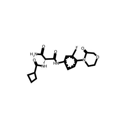 NC(=O)[C@@H](NC(=O)C1CCC1)C(=O)Nc1ccc(N2CCOCC2=O)c(F)c1